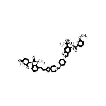 COc1cccc(C(=O)Nc2cc3cn([C@H]4CC[C@H](CN5CCC6(CC5)CC(CCc5cccc7c5n(C)c(=O)n7C5CCC(=O)NC5=O)C6)CC4)nc3cc2C(C)(C)O)n1